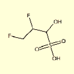 O=S(=O)(O)C(O)C(F)CF